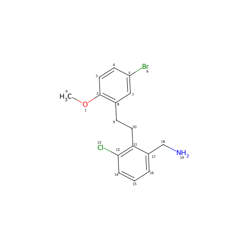 COc1ccc(Br)cc1CCc1c(Cl)cccc1CN